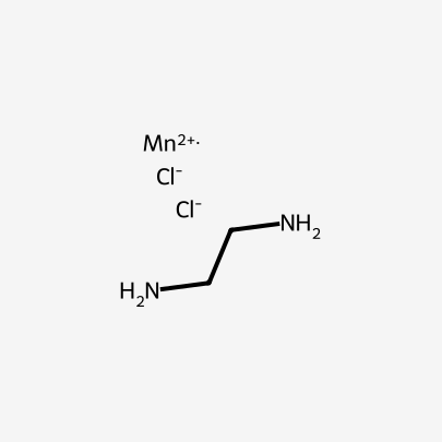 NCCN.[Cl-].[Cl-].[Mn+2]